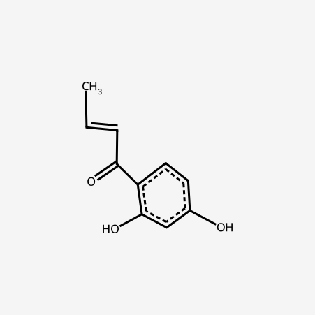 C/C=C/C(=O)c1ccc(O)cc1O